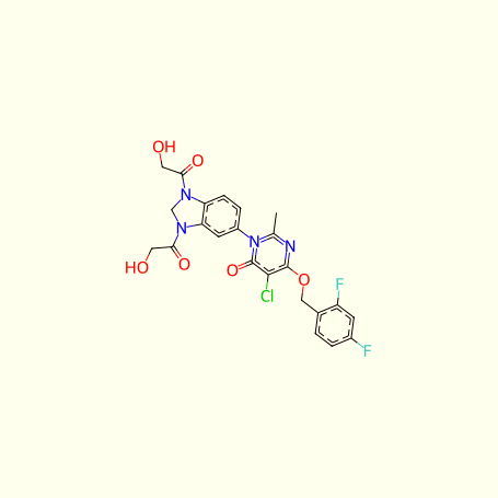 Cc1nc(OCc2ccc(F)cc2F)c(Cl)c(=O)n1-c1ccc2c(c1)N(C(=O)CO)CN2C(=O)CO